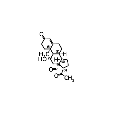 CC(=O)[C@H]1CC[C@H]2[C@@H]3CCC4=CC(=O)CC[C@]4(C)C3[C@@H](O)C[C@]12C=O